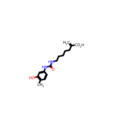 C=C(CCCCCNC(=O)Nc1ccc(C)c(O)c1)C(=O)O